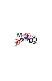 C=CCOC(=O)c1ccc(C(=O)NC(C(=O)OC)c2ccc3c(c2)C(C)(C)CCC3(C)C)cc1